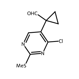 CSc1ncc(C2(C=O)CC2)c(Cl)n1